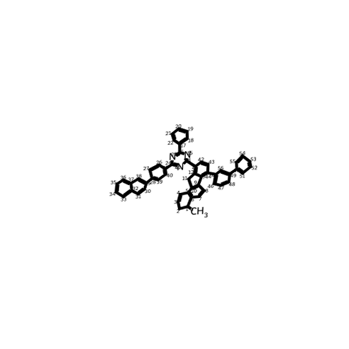 CC1CC=Cc2c1ccc1c2Cc2c(-c3nc(-c4ccccc4)nc(-c4ccc(-c5ccc6ccccc6c5)cc4)n3)ccc(-c3cccc(-c4ccccc4)c3)c2-1